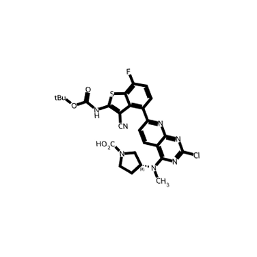 CN(c1nc(Cl)nc2nc(-c3ccc(F)c4sc(NC(=O)OC(C)(C)C)c(C#N)c34)ccc12)[C@@H]1CCN(C(=O)O)C1